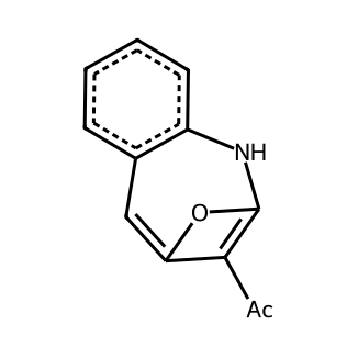 CC(=O)C1=C2Nc3ccccc3C=C1O2